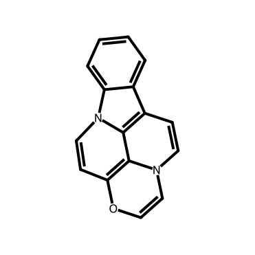 C1=CN2C=Cc3c4ccccc4n4ccc(c2c34)O1